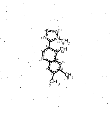 Cc1cc2ncc(-c3nnnn3C)c(O)c2cc1C